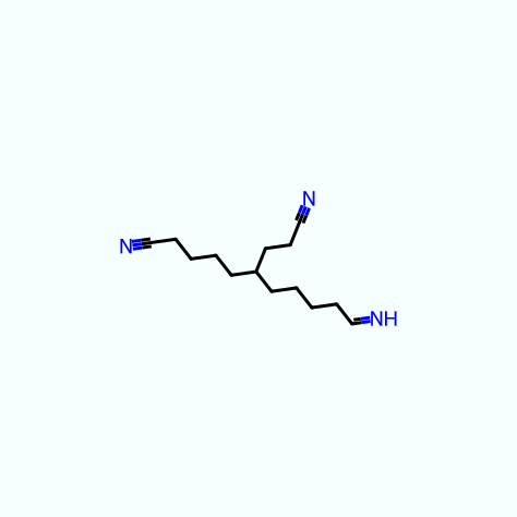 N#CCCCCC(CCC#N)CCCCC=N